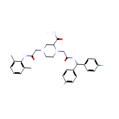 Cc1cccc(C)c1NC(=O)CN1CCN(CC(=O)NC(c2ccc(F)cc2)c2ccc(F)cc2)C(C(N)=O)C1